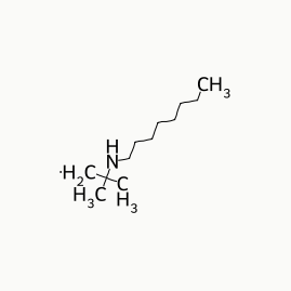 [CH2]C(C)(C)NCCCCCCCC